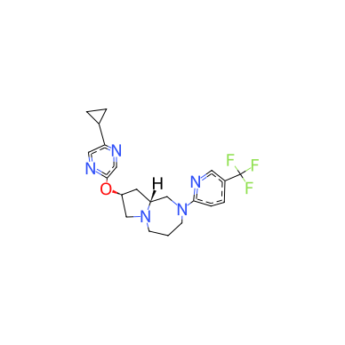 FC(F)(F)c1ccc(N2CCCN3C[C@@H](Oc4cnc(C5CC5)cn4)C[C@@H]3C2)nc1